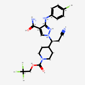 N#CC[C@@H](C1CCN(C(=O)OCC(F)(F)F)CC1)n1cc(C(N)=O)c(Nc2ccc(F)cc2)n1